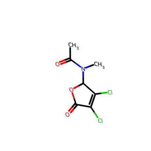 CC(=O)N(C)C1OC(=O)C(Cl)=C1Cl